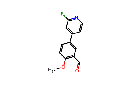 COc1ccc(-c2ccnc(F)c2)cc1C=O